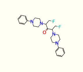 O=C(C(CF)N1CCN(c2ccccc2)CC1)C(CF)N1CCN(c2ccccc2)CC1